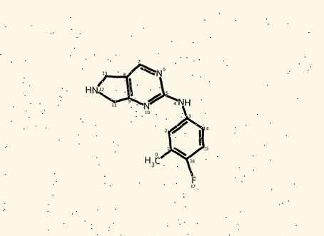 Cc1cc(Nc2ncc3c(n2)CNC3)ccc1F